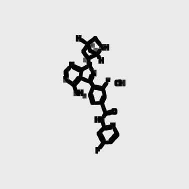 Cl.Nc1ncnc2c1c(-c1ccc(C(=O)Nc3cc(F)ccn3)cc1F)nn2[C@H]1C[C@@H]2CN[C@H]1C2